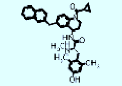 CN[C@@H](Cc1c(C)cc(O)cc1C)C(=O)N[C@@H]1CCN(C(=O)C2CC2)c2ccc(Cc3ccc4ccccc4c3)cc21